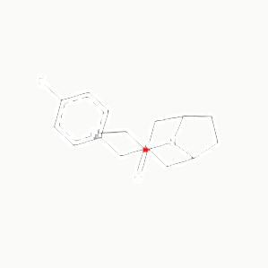 O=C(CCl)N1C2CCC1CN(Cc1ccc(F)cc1)C2